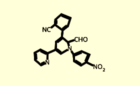 N#Cc1ccccc1C1=CC(c2ccccn2)=CN(c2ccc([N+](=O)[O-])cc2)C1C=O